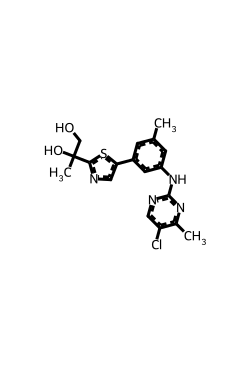 Cc1cc(Nc2ncc(Cl)c(C)n2)cc(-c2cnc(C(C)(O)CO)s2)c1